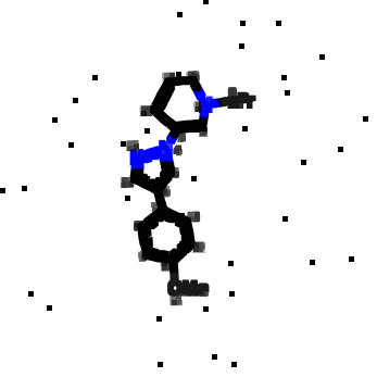 CCCN1C=C(n2cc(-c3ccc(OC)cc3)cn2)C=CC1